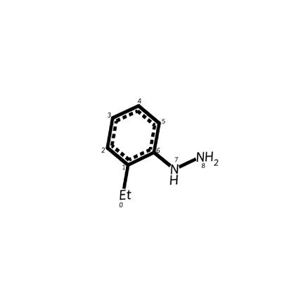 CCc1ccccc1NN